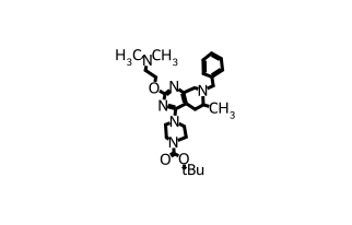 CC1Cc2c(nc(OCCN(C)C)nc2N2CCN(C(=O)OC(C)(C)C)CC2)CN1Cc1ccccc1